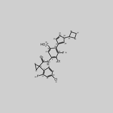 CCc1c(NC(=O)C2(c3ccc(Cl)cc3F)CC2)cc(C(=O)O)c(-c2cnn(C3CCC3)c2)c1F